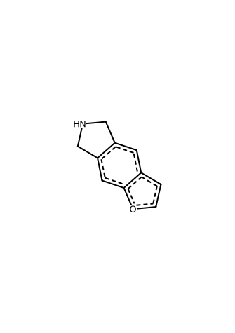 c1cc2cc3c(cc2o1)CNC3